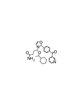 CC(OC(CCC(N)=O)N1C=COC1c1ccc(C(=O)c2cccnc2)cc1)C1CCCCC1